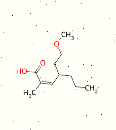 [CH2]CCC(C=C(C)C(=O)O)CCOC